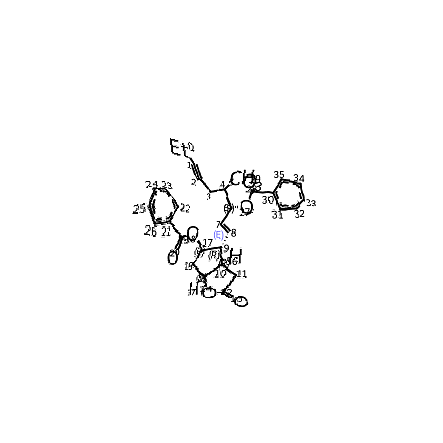 CCC#CCC(C)[C@@H](/C=C/[C@@H]1[C@H]2CC(=O)O[C@H]2C[C@H]1OC(=O)c1ccccc1)OC(=O)c1ccccc1